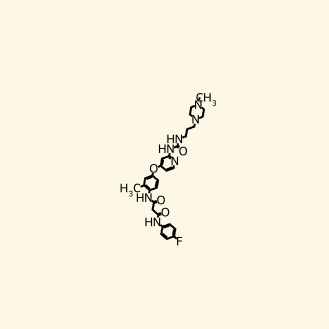 Cc1cc(Oc2ccnc(NC(=O)NCCCN3CCN(C)CC3)c2)ccc1NC(=O)CC(=O)Nc1ccc(F)cc1